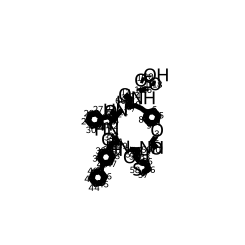 O=C1COc2ccc(cc2)C[C@@H](C(=O)NCCS(=O)(=O)O)NC(=O)[C@H](Cc2ccccc2)NC(=O)[C@H](Cc2ccc(-c3ccccc3)cc2)NC(=O)[C@H](Cc2cccs2)N1